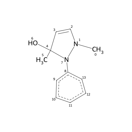 CN1C=CC(C)(O)N1c1ccccc1